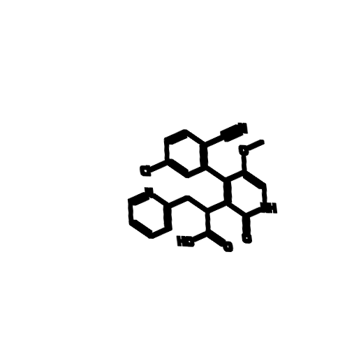 COc1c[nH]c(=O)c(C(Cc2ccccn2)C(=O)O)c1-c1cc(Cl)ccc1C#N